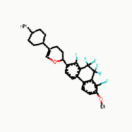 CCCC1CCC(C2=COC(c3ccc4c(c3F)C(F)(F)C(F)(F)c3c-4ccc(OCC)c3F)CC2)CC1